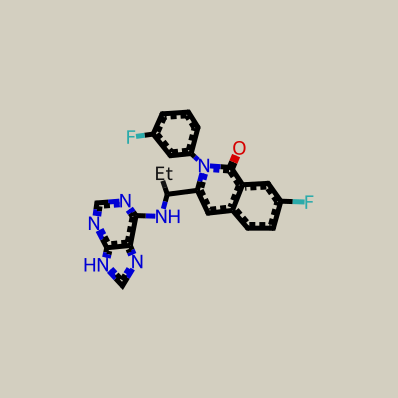 CCC(Nc1ncnc2[nH]cnc12)c1cc2ccc(F)cc2c(=O)n1-c1cccc(F)c1